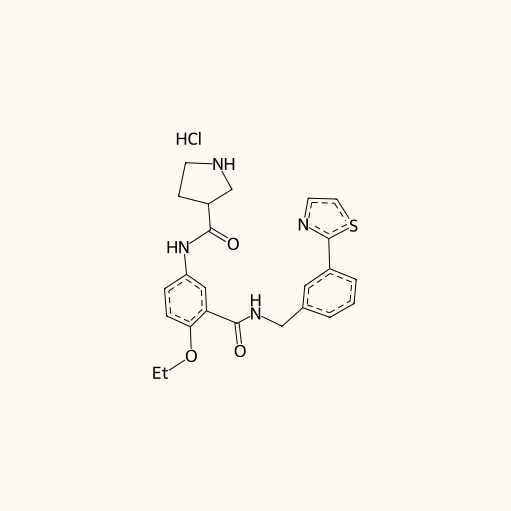 CCOc1ccc(NC(=O)C2CCNC2)cc1C(=O)NCc1cccc(-c2nccs2)c1.Cl